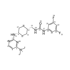 CN(C)c1ccnc(N[C@H]2CC[C@@H](CNC(=O)Nc3cc(F)cc(F)c3)CC2)n1